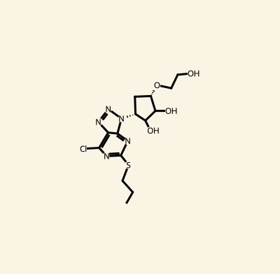 CCCSc1nc(Cl)c2nnn([C@@H]3C[C@H](OCCO)C(O)C3O)c2n1